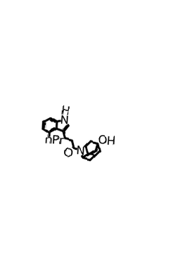 CCCc1cccc2[nH]cc(CCC(=O)N3C4CC5CC3CC(O)(C5)C4)c12